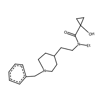 CCN(CCC1CCN(Cc2ccccc2)CC1)C(=O)C1(O)CC1